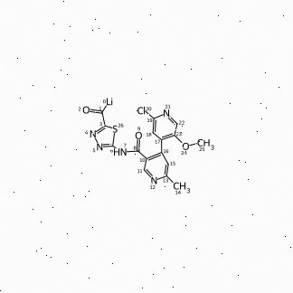 [Li][C](=O)c1nnc(NC(=O)c2cnc(C)cc2-c2cc(Cl)ncc2OC)s1